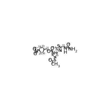 CC(=O)S[C@H]1C[C@@H](c2csc(CNC(N)=O)n2)N(C(=O)OCc2ccc([N+](=O)[O-])cc2)C1